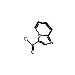 O=C(Cl)c1cnc2ccccn12